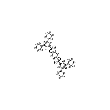 O=C(Oc1ccc(OC(=O)c2cc(-c3ccccc3)nc(-c3ccccc3)c2)cc1)c1cc(-c2ccccc2)nc(-c2ccccc2)c1